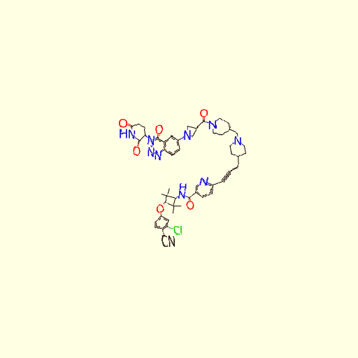 CC1(C)C(NC(=O)c2ccc(C#CCC3CCN(CC4CCN(C(=O)C5CN(c6ccc7nnn(C8CCC(=O)NC8=O)c(=O)c7c6)C5)CC4)CC3)nc2)C(C)(C)C1Oc1ccc(C#N)c(Cl)c1